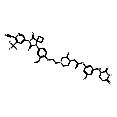 CCc1cc(N2C(=S)N(c3cnc(C#N)c(C(F)(F)F)c3)C(=O)C23CCC3)ccc1OCCN1CCN(CC(=O)Nc2cc(Cl)cc(NC3CCC(=O)NC3=O)c2)C(C)C1